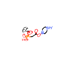 CCOP(=O)(O)CC(=O)ON1CCNCC1